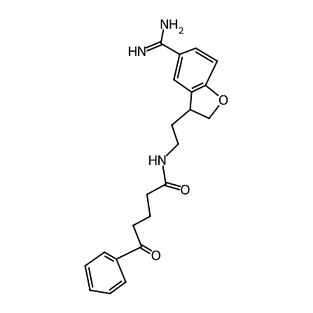 N=C(N)c1ccc2c(c1)C(CCNC(=O)CCCC(=O)c1ccccc1)CO2